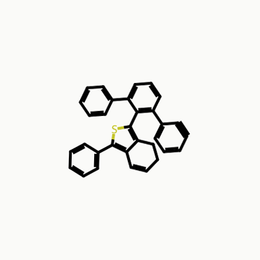 c1cccc(-c2cccc(-c3ccccc3)c2-c2sc(-c3ccccc3)c3c2CCC=C3)c#1